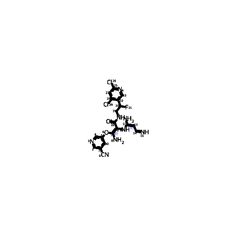 N#Cc1cncc(O/C(N)=C(/N/C(N)=C\C=N)C(=O)NCC(F)c2cnc(Cl)cc2Cl)c1